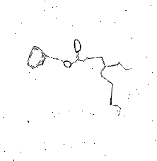 CCCCCC(CCC)CCC(=O)OCc1ccccc1